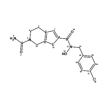 NC(=O)N1CCc2cc(C(=O)N(O)Cc3ccc(Cl)cc3)sc2C1